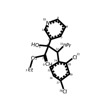 C=C(OCC)C(O)(c1cccnc1)C(CCC)c1ccc(Cl)cc1Cl